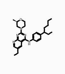 CCCCC(CC)c1ccc(Nc2nc(N3CCO[C@H](C)C3)nc3ncc(CC)cc23)cc1